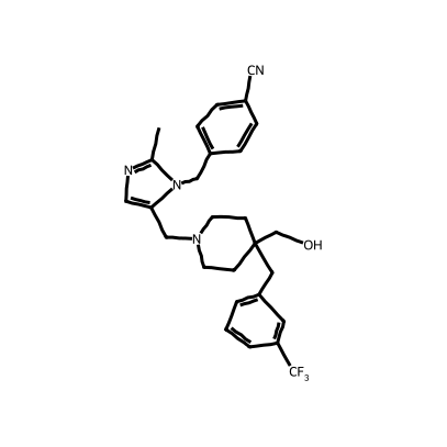 Cc1ncc(CN2CCC(CO)(Cc3cccc(C(F)(F)F)c3)CC2)n1Cc1ccc(C#N)cc1